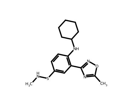 CNSc1ccc(NC2CCCCC2)c(-c2noc(C)n2)c1